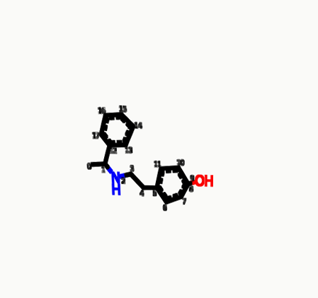 CC(NCCc1ccc(O)cc1)c1ccccc1